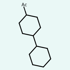 CC(=O)C1CCC(C2CCCCC2)CC1